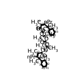 CCC/C(=C(\C)C(=O)OOC(C)(C)OC(=O)OC(C)(C)OOC(=O)/C(C)=C(/CCC)C(C)(C)c1ccccc1)C(C)(C)c1ccccc1